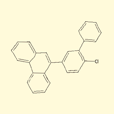 Clc1ccc(-c2cc3ccccc3c3ccccc23)cc1-c1ccccc1